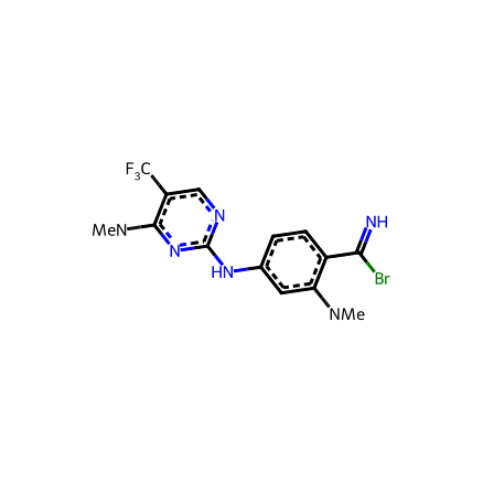 CNc1cc(Nc2ncc(C(F)(F)F)c(NC)n2)ccc1C(=N)Br